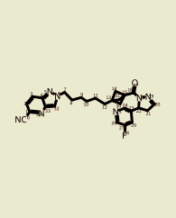 N#Cc1ccc2nn(CCCCCCC34CC(C(=O)N5N=CCC5c5cncc(F)c5)(C3)C4)cc2n1